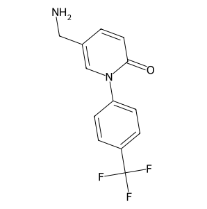 NCc1ccc(=O)n(-c2ccc(C(F)(F)F)cc2)c1